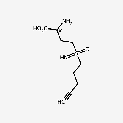 C#CCCCS(=N)(=O)CC[C@H](N)C(=O)O